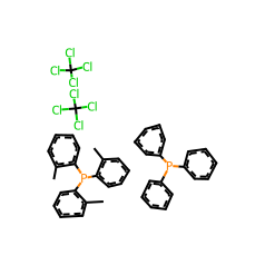 Cc1ccccc1P(c1ccccc1C)c1ccccc1C.ClC(Cl)(Cl)Cl.ClC(Cl)(Cl)Cl.c1ccc(P(c2ccccc2)c2ccccc2)cc1